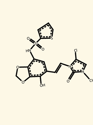 Cn1cc(Cl)n(/C=C/c2cc(NS(=O)(=O)c3cccs3)c3c(c2O)OCO3)c1=O